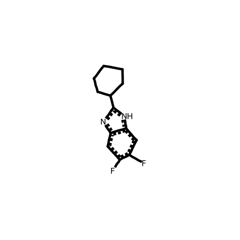 Fc1cc2nc([C]3CCCCC3)[nH]c2cc1F